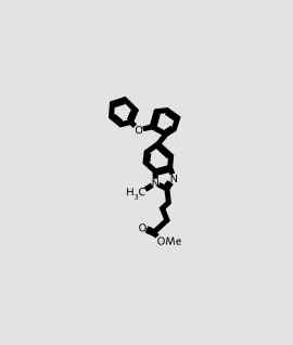 COC(=O)CCCc1nc2cc(-c3ccccc3Oc3ccccc3)ccc2n1C